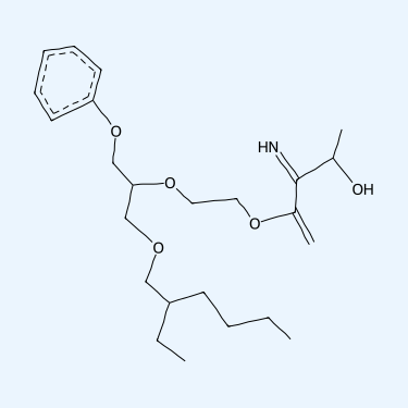 C=C(OCCOC(COCC(CC)CCCC)COc1ccccc1)C(=N)C(C)O